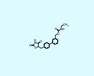 CCNC(=O)OCc1cccc(-c2ccc(CC3SC(=O)NC3=O)cc2)c1